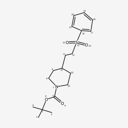 CC(C)(C)OC(=O)N1CCC(CCS(=O)(=O)c2ccccc2)CC1